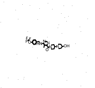 Cc1c(NCc2ccc(OC(F)(F)F)cc2)ncnc1C(=O)N1CCC(N2CCC(O)CC2)CC1